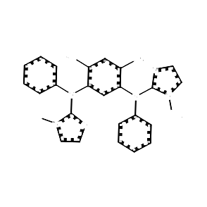 Cn1ccnc1N(c1ccccc1)c1cc(N(c2ccccc2)c2nccn2C)c(C#N)cc1C#N